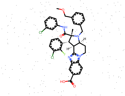 COCc1cccc(CN2[C@H]3CCn4c(nc5cc(C(=O)O)ccc54)[C@H]3[C@H](c3cccc(Cl)c3F)[C@]2(C)C(=O)Nc2cccc(Cl)c2)c1